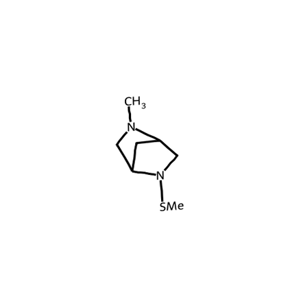 CSN1CC2CC1CN2C